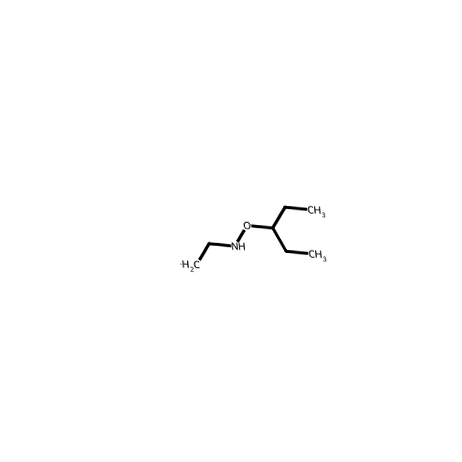 [CH2]CNOC(CC)CC